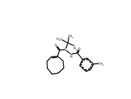 Cc1cccc(C(=O)NN(C(=O)/C2=C/CCCCCC2)C(C)(C)C)c1